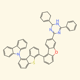 C1=CCCC(C2N=C(c3ccc4c(c3)oc3cccc(-c5cccc6c5sc5cccc(-n7c8ccccc8c8ccccc87)c56)c34)N=C(c3ccccc3)N2)=C1